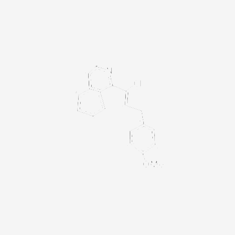 COc1ccc(CC=C(C)c2nccc3ccccc23)cc1